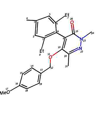 CCc1cc(C)cc(CC)c1-c1c(OCc2ccc(OC)cc2)c(C)nn(C)c1=O